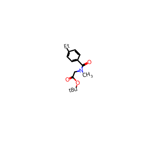 CCc1ccc(C(=O)N(C)CC(=O)OC(C)(C)C)cc1